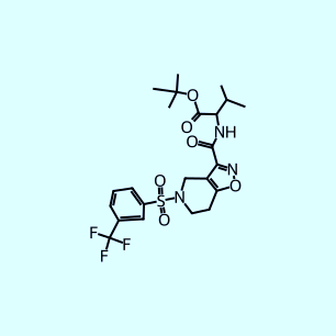 CC(C)C(NC(=O)c1noc2c1CN(S(=O)(=O)c1cccc(C(F)(F)F)c1)CC2)C(=O)OC(C)(C)C